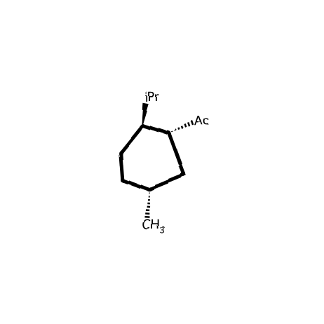 [CH2]C(=O)[C@@H]1C[C@H](C)CC[C@H]1C(C)C